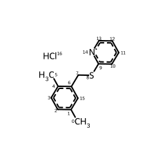 Cc1ccc(C)c(CSc2ccccn2)c1.Cl